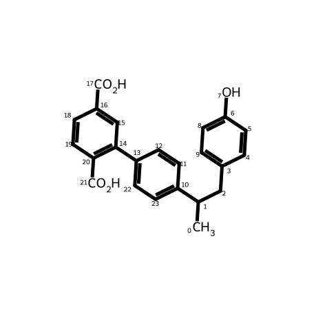 CC(Cc1ccc(O)cc1)c1ccc(-c2cc(C(=O)O)ccc2C(=O)O)cc1